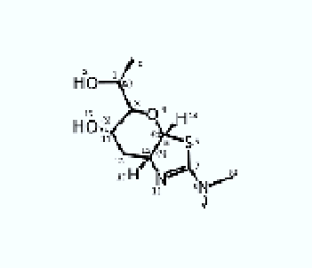 C[C@H](O)C1O[C@@H]2SC(N(C)C)=N[C@@H]2C[C@@H]1O